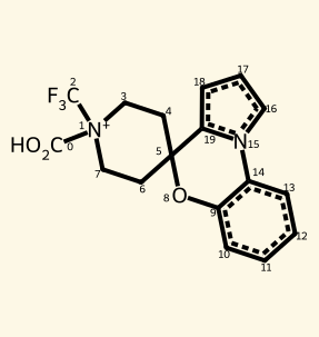 O=C(O)[N+]1(C(F)(F)F)CCC2(CC1)Oc1ccccc1-n1cccc12